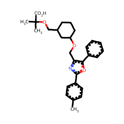 Cc1ccc(-c2nc(COC3CCCC(COC(C)(C)C(=O)O)C3)c(-c3ccccc3)o2)cc1